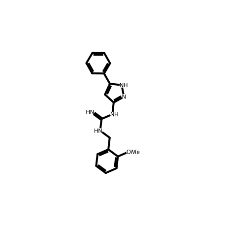 COc1ccccc1CNC(=N)Nc1cc(-c2ccccc2)[nH]n1